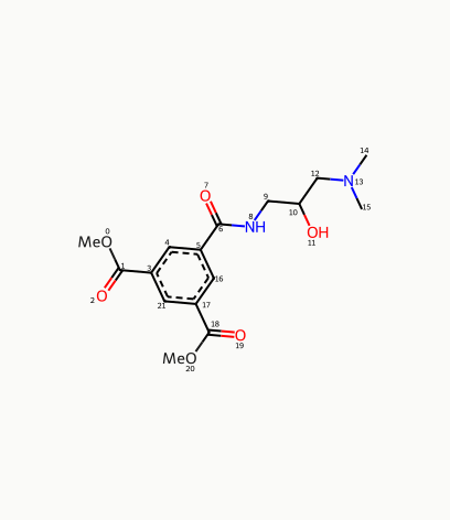 COC(=O)c1cc(C(=O)NCC(O)CN(C)C)cc(C(=O)OC)c1